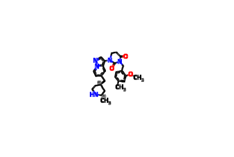 COc1cc(C)ccc1CN1C(=O)CCN(c2cnn3ccc(C[C@@H]4CCN[C@@H](C)C4)cc23)C1=O